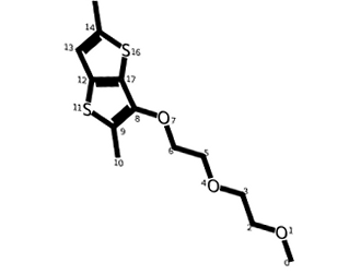 COCCOCCOc1c(C)sc2cc(C)sc12